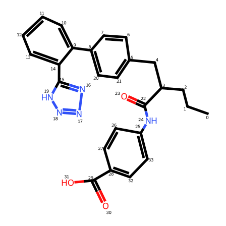 CCCC(Cc1ccc(-c2ccccc2-c2nnn[nH]2)cc1)C(=O)Nc1ccc(C(=O)O)cc1